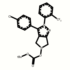 CC(C)(C)OC(=O)ON1Cc2nn(-c3ccccc3C(F)(F)F)c(-c3ccc(Cl)cc3)c2C1